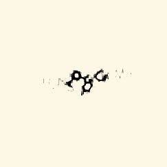 CSN1CCC(n2cc(-c3cccc(C(N)=S)c3)c3cc(F)ccc32)CC1